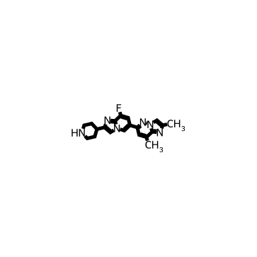 Cc1cn2nc(-c3cc(F)c4nc(C5CCNCC5)cn4c3)cc(C)c2n1